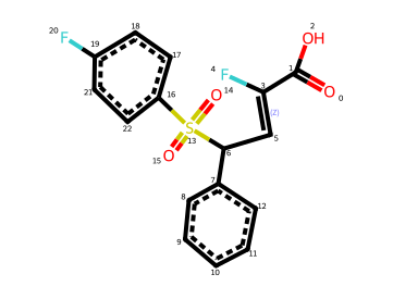 O=C(O)/C(F)=C/C(c1ccccc1)S(=O)(=O)c1ccc(F)cc1